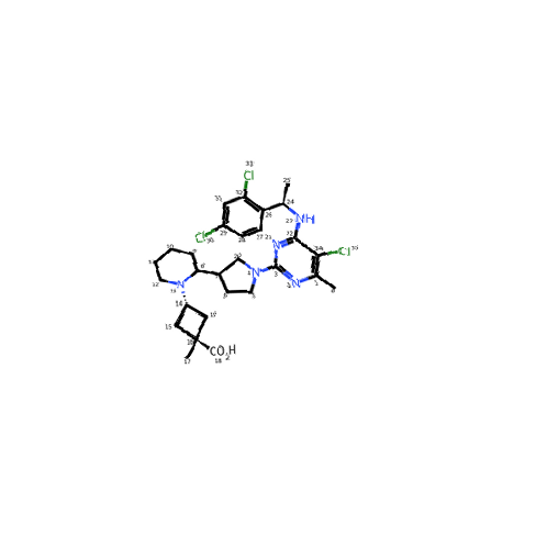 Cc1nc(N2CCC(C3CCCCN3[C@H]3C[C@](C)(C(=O)O)C3)C2)nc(N[C@H](C)c2ccc(Cl)cc2Cl)c1Cl